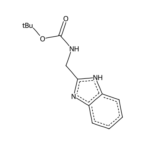 CC(C)(C)OC(=O)NCc1nc2ccccc2[nH]1